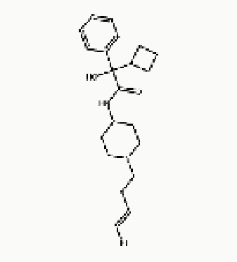 CCC=CCCN1CCC(NC(=O)C(O)(c2ccccc2)C2CCC2)CC1